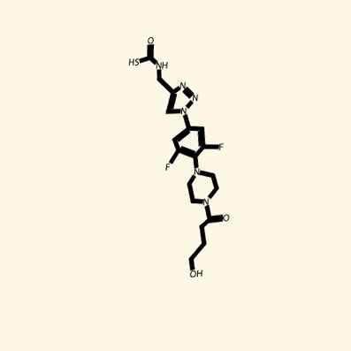 O=C(S)NCc1cn(-c2cc(F)c(N3CCN(C(=O)CCCO)CC3)c(F)c2)nn1